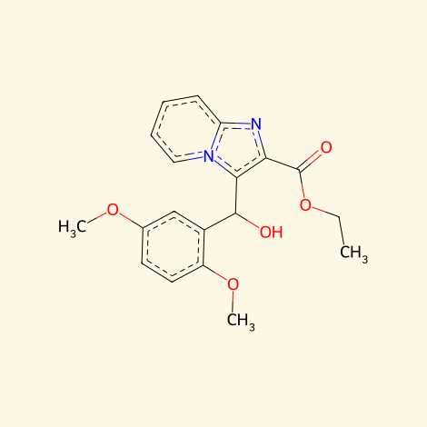 CCOC(=O)c1nc2ccccn2c1C(O)c1cc(OC)ccc1OC